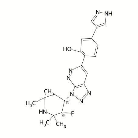 CC1(C)C[C@H](n2nnc3cc(-c4ccc(-c5cn[nH]c5)cc4O)nnc32)[C@H](F)C(C)(C)N1